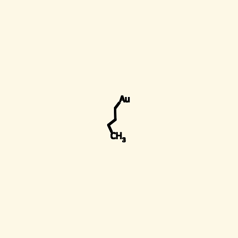 CCC[CH2][Au]